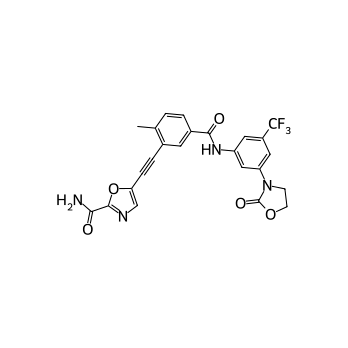 Cc1ccc(C(=O)Nc2cc(N3CCOC3=O)cc(C(F)(F)F)c2)cc1C#Cc1cnc(C(N)=O)o1